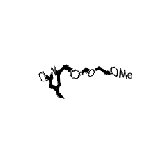 COCCOCOCc1cc(C)cc(Cl)n1